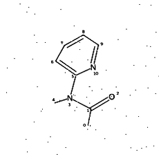 [CH2]C(=O)N(C)c1ccccn1